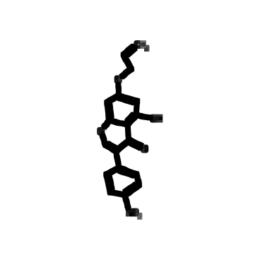 C=CCOc1cc(O)c2c(=O)c(-c3ccc([N+](=O)[O-])cc3)coc2c1